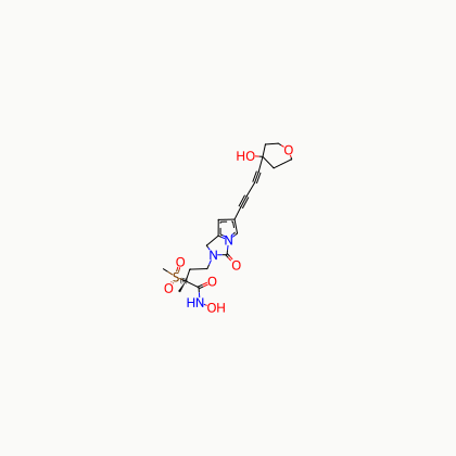 C[C@@](CCN1Cc2cc(C#CC#CC3(O)CCOCC3)cn2C1=O)(C(=O)NO)S(C)(=O)=O